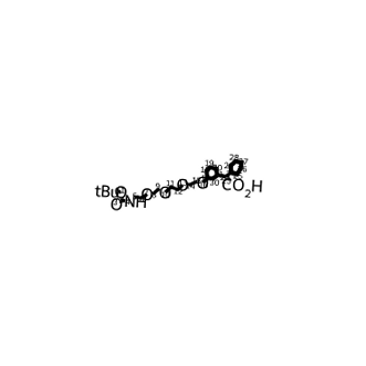 CC(C)(C)OC(=O)NCCOCCOCCOCCOc1cccc(C(C(=O)O)c2ccccc2)c1